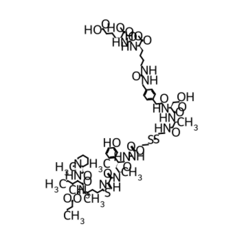 CCCC(=O)OCN(C(=O)[C@@H](NC(=O)[C@H]1CCCCN1C)C(C)CC)[C@@H](C)CCc1nc(C(=O)N[C@@H](C)C[C@@H](C(=O)NNC(=O)OCCSSCCNC(=O)[C@H](C)NC(=O)[C@H](CC(=O)O)NC(=O)Cc2ccc(CNC(=O)NCCCC[C@@H](NC(=O)N[C@H](CCCC(=O)O)C(=O)O)C(=O)O)cc2)c2cc(O)ccc2C)cs1